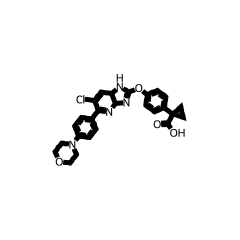 O=C(O)C1(c2ccc(OC3=NC4N=C(c5ccc(N6CCOCC6)cc5)C(Cl)=CC4N3)cc2)CC1